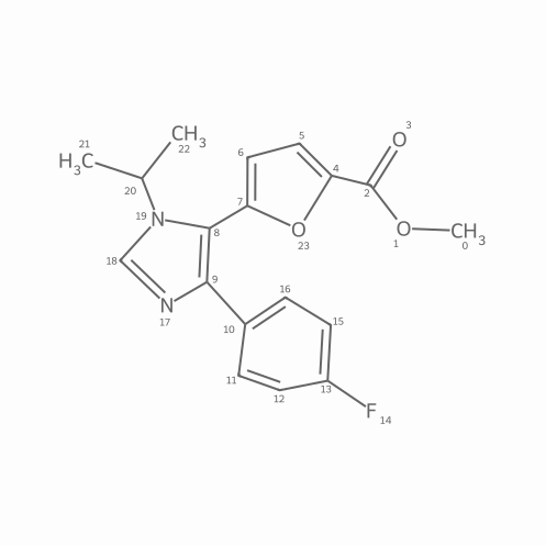 COC(=O)c1ccc(-c2c(-c3ccc(F)cc3)ncn2C(C)C)o1